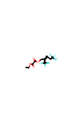 CCOC(=O)C(=O)OC/C(=C/CC(F)(F)F)C(F)(F)F